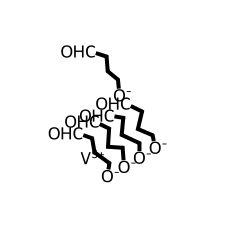 O=CCCC[O-].O=CCCC[O-].O=CCCC[O-].O=CCCC[O-].O=CCCC[O-].[V+5]